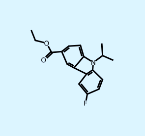 CCOC(=O)c1ccc2c(c1)c1cc(F)ccc1n2C(C)C